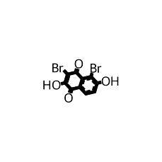 O=C1C(O)=C(Br)C(=O)c2c1ccc(O)c2Br